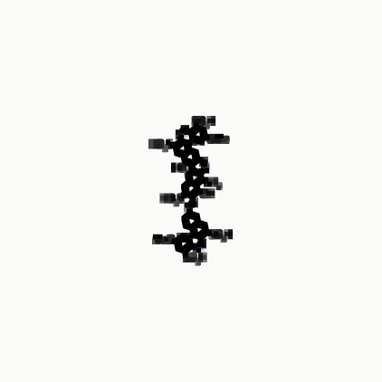 COc1ccc(/N=N\c2c(S(=O)(=O)O)cc3cc(N=Nc4c(S(=O)(=O)O)cc5cc(S(=O)(=O)O)c(/N=N\c6ccc7cc(S(=O)(=O)O)c(/N=N\c8ccc(OC)cc8S(=O)(=O)O)c(O)c7c6)c(N)c5c4O)ccc3c2O)c(S(=O)(=O)O)c1